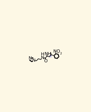 C/C(=C\C(=N)C(=O)NCCCn1ccnc1)c1ccccc1[N+](=O)[O-]